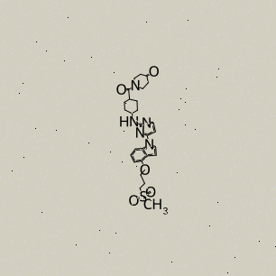 CS(=O)(=O)CCCOc1cccc2c1ccn2-c1ccnc(NC2CCC(C(=O)N3CCC(=O)CC3)CC2)n1